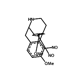 COC1=CC2C3Cc4ccc(OC)c(N=O)c4C2(CCN3)CC1N=O